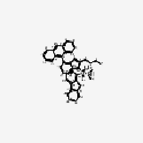 CCCCC1=Cc2c(-c3c4ccccc4cc4ccccc34)cccc2[CH]1[Zr]([Cl])([Cl])([c]1cccc2c1Cc1ccccc1-2)[SiH](C)C